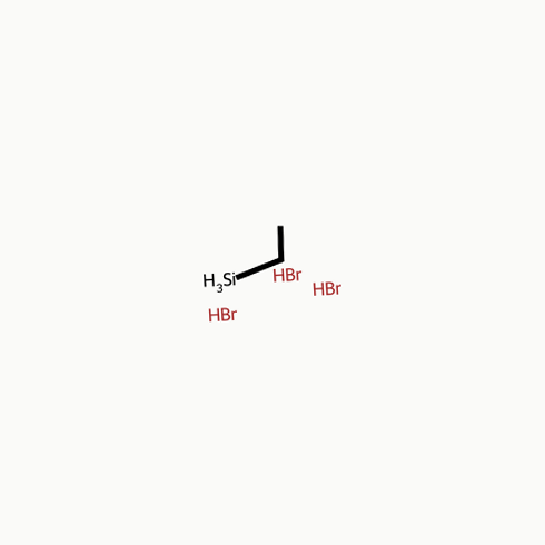 Br.Br.Br.CC[SiH3]